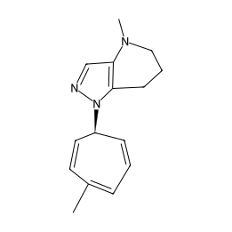 CC1=CC=C[C@H](n2ncc3c2CCCN3C)C=C1